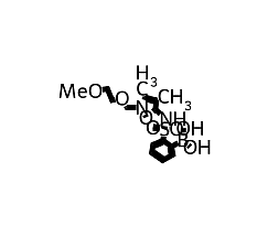 COCCOCN1OC(NS(=O)(=O)c2ccccc2B(O)O)C(C)=C1C